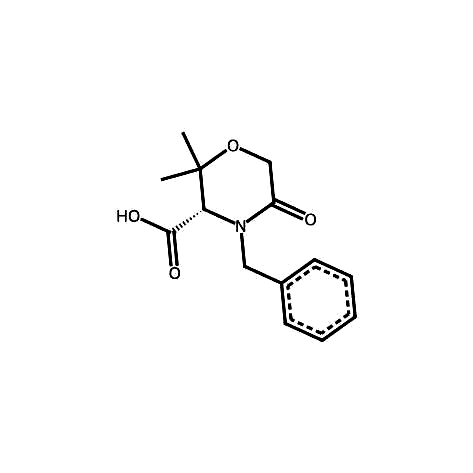 CC1(C)OCC(=O)N(Cc2ccccc2)[C@@H]1C(=O)O